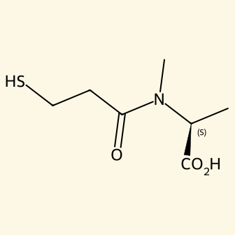 C[C@@H](C(=O)O)N(C)C(=O)CCS